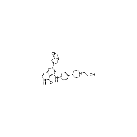 Cn1cc(-c2cc3cc[nH]c(=O)c3c(Nc3ccc(C4CCN(CCO)CC4)cc3)n2)cn1